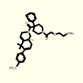 COCCOCC(=O)N1CCC(C(=O)N2CC=C3C(C)(C)C(c4ccc(C(=O)O)cc4)=CC[C@]3(C)C2)(c2ccccc2)CC1